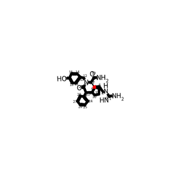 N=C(N)NCCC[C@H](C(N)=O)N(Cc1ccc(O)cc1)C(=O)C(c1ccccc1)C1CCCC1